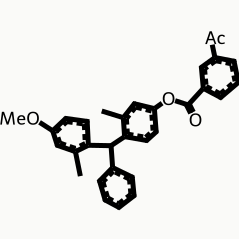 COc1ccc(C(c2ccccc2)c2ccc(OC(=O)c3cccc(C(C)=O)c3)cc2C)c(C)c1